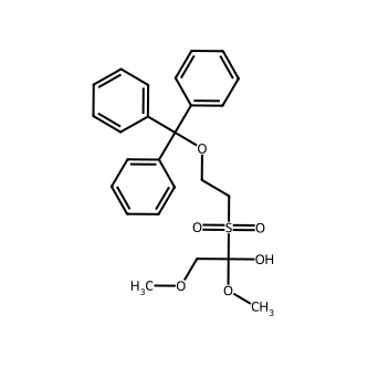 COCC(O)(OC)S(=O)(=O)CCOC(c1ccccc1)(c1ccccc1)c1ccccc1